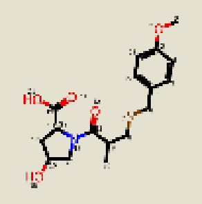 COc1ccc(CSCC(C)C(=O)N2CC(O)C[C@H]2C(=O)O)cc1